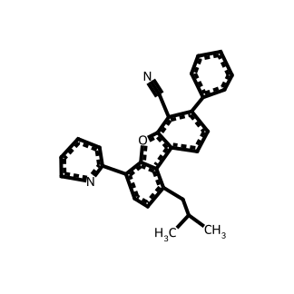 CC(C)Cc1ccc(-c2ccccn2)c2oc3c(C#N)c(-c4ccccc4)ccc3c12